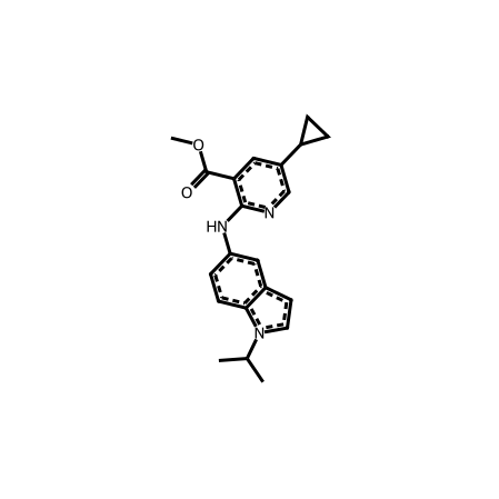 COC(=O)c1cc(C2CC2)cnc1Nc1ccc2c(ccn2C(C)C)c1